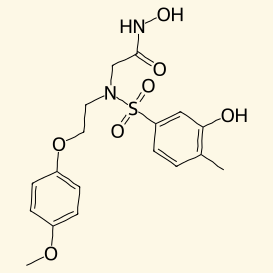 COc1ccc(OCCN(CC(=O)NO)S(=O)(=O)c2ccc(C)c(O)c2)cc1